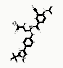 CC(C)Oc1ccc(C(=O)N[C@@H](Cc2ccc(-c3cn(C)c(C(C)(C)C)n3)cc2)C[C@H](C)C(N)=O)cc1C#N